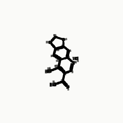 Cl.O=C(O)c1cnc2cc3c(cc2c1O)OCO3